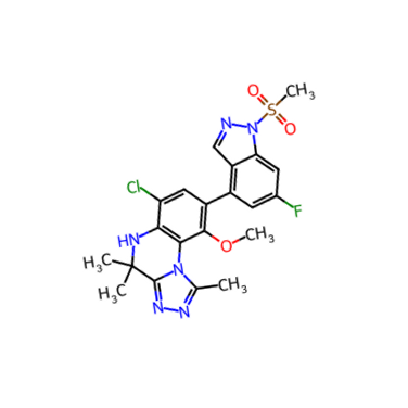 COc1c(-c2cc(F)cc3c2cnn3S(C)(=O)=O)cc(Cl)c2c1-n1c(C)nnc1C(C)(C)N2